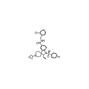 C=CC1N(S(=O)(=O)c2ccc(F)cc2)c2ccc(C(=O)NCc3ccccc3Cl)cc2C12CCN(C1COC1)CC2